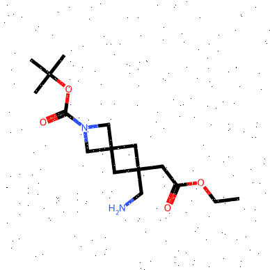 CCOC(=O)CC1(CN)CC2(CN(C(=O)OC(C)(C)C)C2)C1